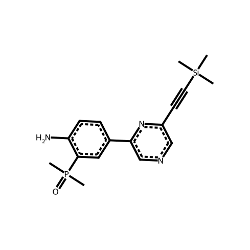 C[Si](C)(C)C#Cc1cncc(-c2ccc(N)c(P(C)(C)=O)c2)n1